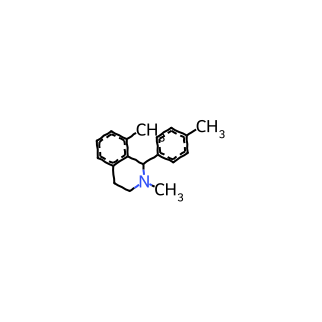 Cc1ccc(C2c3c(C)cccc3CCN2C)cc1